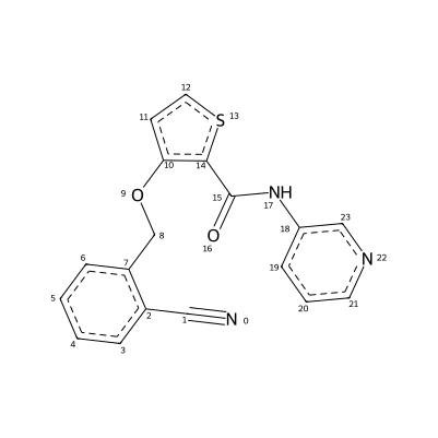 N#Cc1ccccc1COc1ccsc1C(=O)Nc1cccnc1